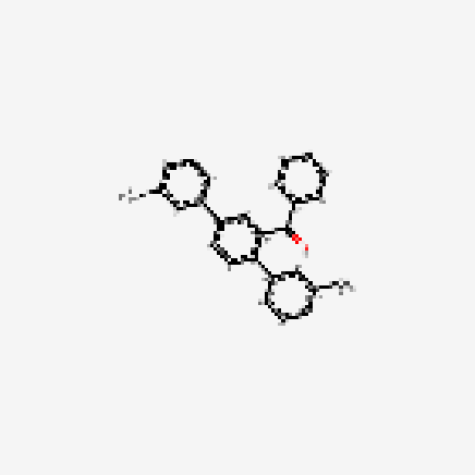 Cc1cccc(-c2ccc(-c3cccc(C)c3)c(C(=O)c3ccccc3)c2)c1